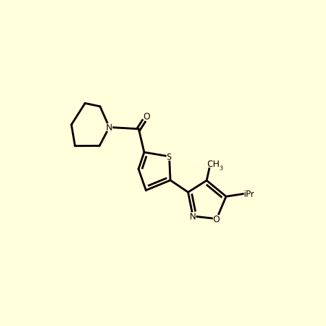 Cc1c(-c2ccc(C(=O)N3CCCCC3)s2)noc1C(C)C